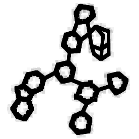 c1ccc(-c2nc(-c3ccccc3)nc(-c3cc(-c4ccc5c(c4)C4(c6ccccc6-5)C5CC6CC(C5)CC4C6)cc(-c4ccc5sc6ccccc6c5c4)c3)n2)cc1